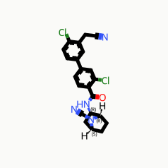 N#CCc1cc(-c2ccc(C(=O)N[C@@H]3C[C@@H]4CC[C@H]3N4C#N)c(Cl)c2)ccc1Cl